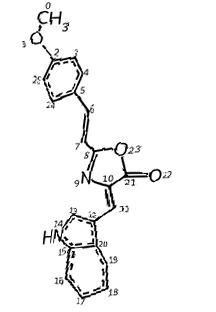 COc1ccc(/C=C/C2=NC(=C\c3c[nH]c4ccccc34)/C(=O)O2)cc1